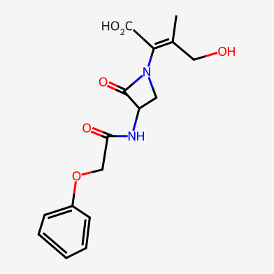 C/C(CO)=C(\C(=O)O)N1CC(NC(=O)COc2ccccc2)C1=O